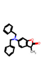 CC1C(=O)Oc2cc(N(Cc3ccccc3)Cc3ccccc3)ccc21